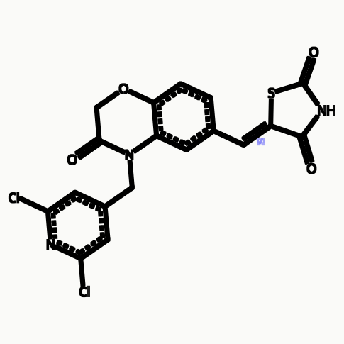 O=C1NC(=O)/C(=C/c2ccc3c(c2)N(Cc2cc(Cl)nc(Cl)c2)C(=O)CO3)S1